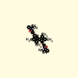 Cc1ccc(C2(c3ccc(C)cc3)c3cc4c(cc3-c3sc(-c5ccc(/C=C6\C(=O)c7ccccc7C6=C(C#N)C#N)s5)cc32)C(c2ccc(C)cc2)(c2ccc(C)cc2)c2c-4sc3cc(-c4ccc(/C=C5\C(=O)c6ccccc6C5=C(C#N)C#N)s4)ccc23)cc1